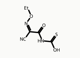 CCON=C(C#N)C(=O)NC(O)=S